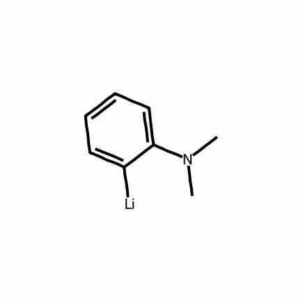 [Li][c]1ccccc1N(C)C